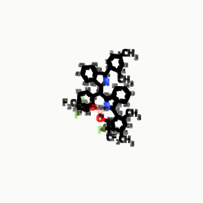 Cc1ccc(C2=N/C(=C(/c3ccccc3)c3c4ccccc4c(-c4ccc(C)cc4C)n3B(OCC(F)(F)C(F)(F)F)OCC(F)(F)C(F)(F)F)c3ccccc32)c(C)c1